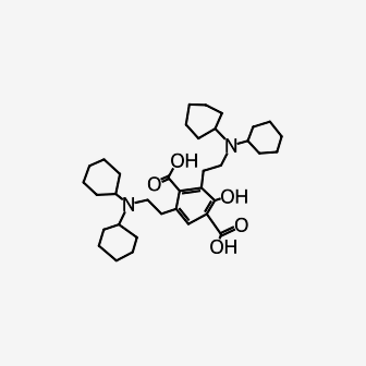 O=C(O)c1cc(CCN(C2CCCCC2)C2CCCCC2)c(C(=O)O)c(CCN(C2CCCCC2)C2CCCCC2)c1O